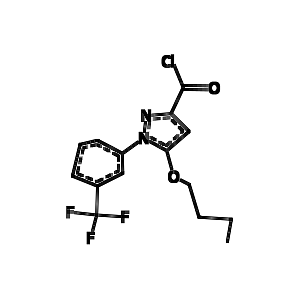 CCCCOc1cc(C(=O)Cl)nn1-c1cccc(C(F)(F)F)c1